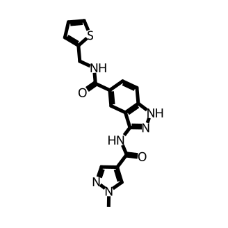 Cn1cc(C(=O)Nc2n[nH]c3ccc(C(=O)NCc4cccs4)cc23)cn1